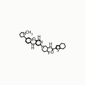 CN1CCCC1c1ccc(Nc2cc(N3CCC(F)C(NC(=O)c4cc5c(s4)CCCC5)C3)n[nH]c2=O)nc1